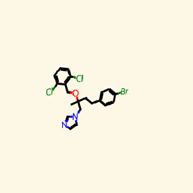 CC(CCc1ccc(Br)cc1)(Cn1ccnc1)OCc1c(Cl)cccc1Cl